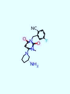 Cn1c(N2CCC[C@@H](N)C2)cc(=O)n(Cc2cc(F)ccc2C#N)c1=O